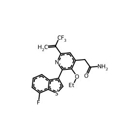 C=C(c1cc(CC(N)=O)c(OCC)c(-c2csc3c(F)cccc23)n1)C(F)(F)F